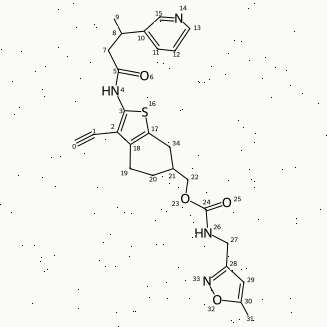 C#Cc1c(NC(=O)CC(C)c2cccnc2)sc2c1CCC(COC(=O)NCc1cc(C)on1)C2